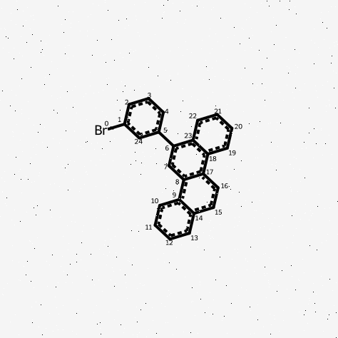 Brc1cccc(-c2cc3c4ccccc4ccc3c3ccccc23)c1